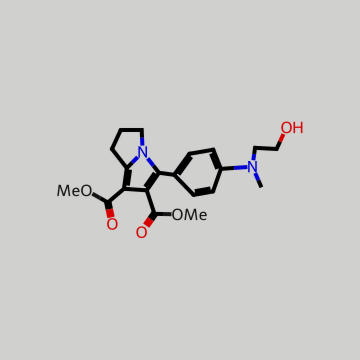 COC(=O)c1c(C(=O)OC)c(-c2ccc(N(C)CCO)cc2)n2c1CCC2